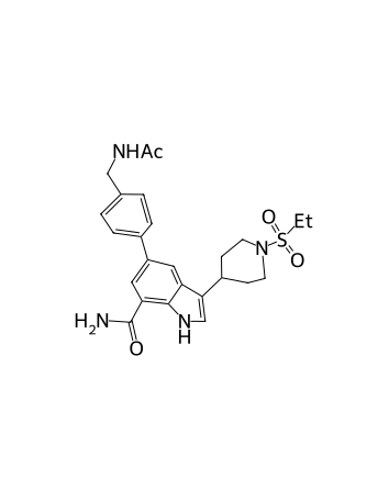 CCS(=O)(=O)N1CCC(c2c[nH]c3c(C(N)=O)cc(-c4ccc(CNC(C)=O)cc4)cc23)CC1